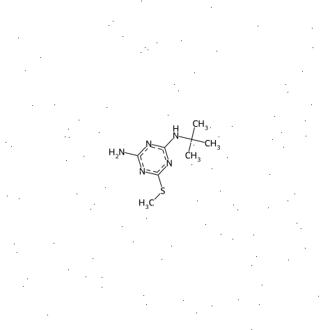 CSc1nc(N)nc(NC(C)(C)C)n1